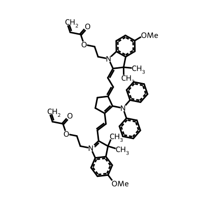 C=CC(=O)OCCN1/C(=C/C=C2\CCC(/C=C/C3=[N+](CCOC(=O)C=C)c4ccc(OC)cc4C3(C)C)=C2N(c2ccccc2)c2ccccc2)C(C)(C)c2cc(OC)ccc21